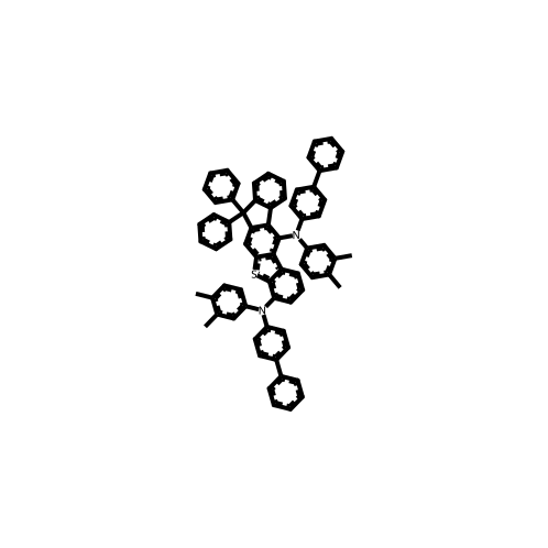 Cc1ccc(N(c2ccc(-c3ccccc3)cc2)c2cccc3c2sc2cc4c(c(N(c5ccc(-c6ccccc6)cc5)c5ccc(C)c(C)c5)c23)-c2ccccc2C4(c2ccccc2)c2ccccc2)cc1C